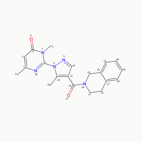 Cc1cc(=O)n(C)c(-n2ncc(C(=O)N3CCc4ccccc4C3)c2C)n1